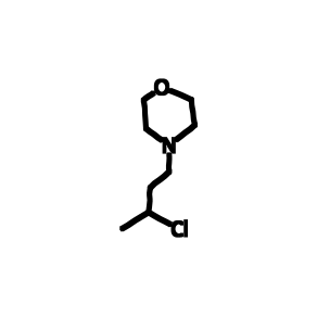 CC(Cl)CCN1CCOCC1